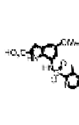 COc1cc(NS(=O)(=O)c2ncccc2C)c2[nH]c(C(=O)O)cc2c1